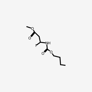 CCCCOC(=O)NC(I)CC(=O)OC